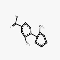 [3H]C(=O)c1ccc(-c2ccccc2C)c(C)c1